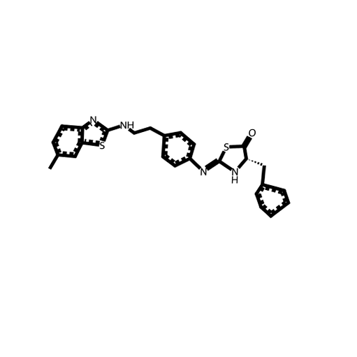 Cc1ccc2nc(NCCc3ccc(/N=C4/N[C@@H](Cc5ccccc5)C(=O)S4)cc3)sc2c1